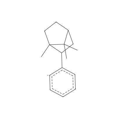 CC1(C)C2CCC1(C)C(c1[c]cccc1)C2